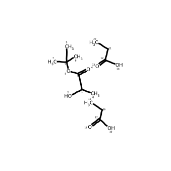 CC(O)C(=O)OC(C)(C)C.CCC(=O)O.CCC(=O)O